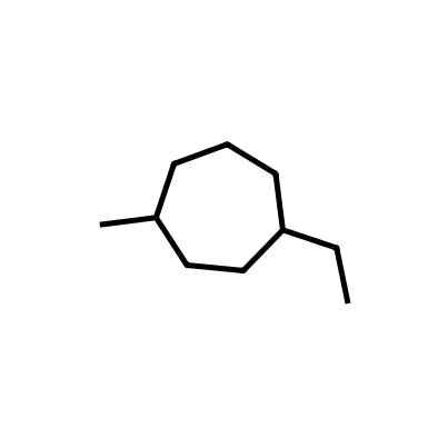 CCC1CCCC(C)CC1